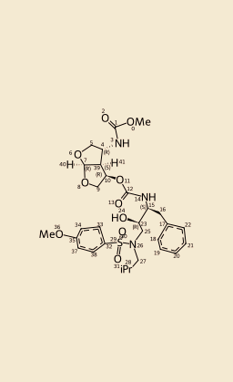 COC(=O)N[C@H]1CO[C@@H]2OC[C@H](OC(=O)N[C@@H](Cc3ccccc3)[C@H](O)CN(CC(C)C)S(=O)(=O)c3ccc(OC)cc3)[C@@H]21